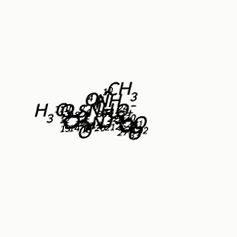 CCNC(=O)Nc1sc2c(OC)cccc2c1C(=O)N1CCC([S+]([O-])c2ccc3c(c2)OCO3)CC1